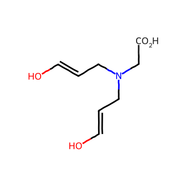 O=C(O)CN(CC=CO)CC=CO